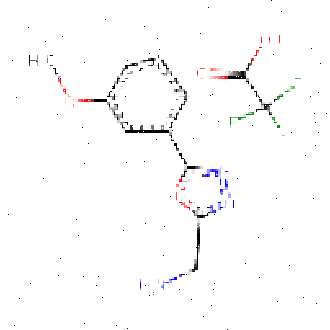 COc1cccc(-c2nnc(CN)o2)c1.O=C(O)C(F)(F)F